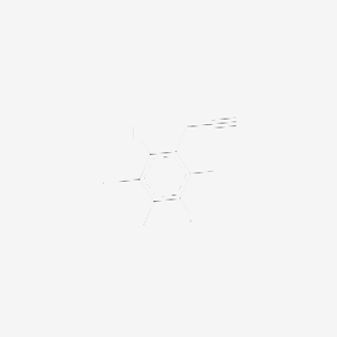 C#CCc1c(F)c(Cl)c([CH2])c(Cl)c1F